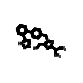 CC(C)Cc1nc(C(C)N)nn1Cc1ccc(-c2ccccc2-c2nnn[nH]2)cc1